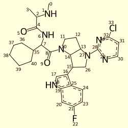 CNC(C)C(=O)NC(C(=O)N1CCC2C1C(c1c[nH]c3cc(F)ccc13)CN2c1nccc(Cl)n1)C1CCCCC1